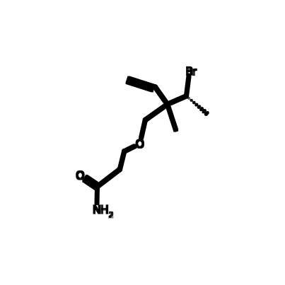 C=CC(C)(COCCC(N)=O)[C@@H](C)Br